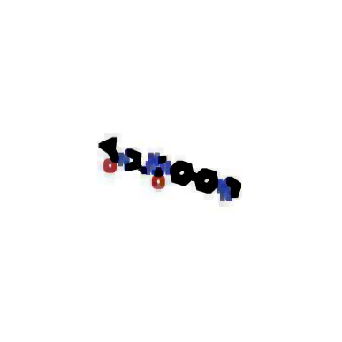 O=C(C1CC1)N1CC[C@H](Cn2ncn(-c3ccc(-c4ccc(-n5cccn5)cc4)cc3)c2=O)C1